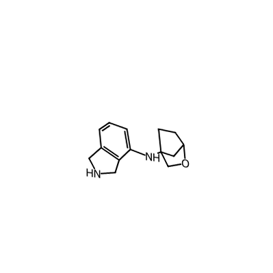 c1cc2c(c(NC34CCC(C3)OC4)c1)CNC2